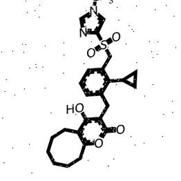 Cn1cnc(S(=O)(=O)Cc2cccc(Cc3c(O)c4c(oc3=O)CCCCCC4)c2C2CC2)c1